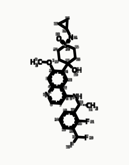 COc1cc2nccc(N[C@H](C)c3cccc(C(F)F)c3F)c2cc1C1(O)CCS(=O)(=NC2CC2)CC1